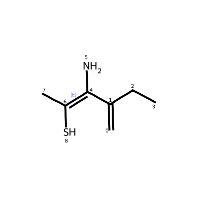 C=C(CC)/C(N)=C(/C)S